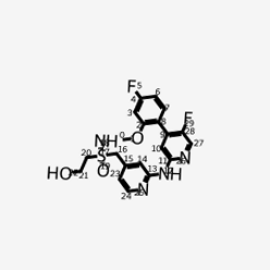 COc1cc(F)ccc1-c1cc(Nc2cc(CS(=N)(=O)CCO)ccn2)ncc1F